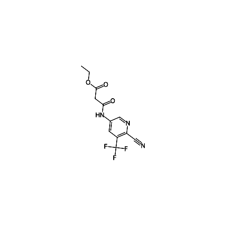 CCOC(=O)CC(=O)Nc1cnc(C#N)c(C(F)(F)F)c1